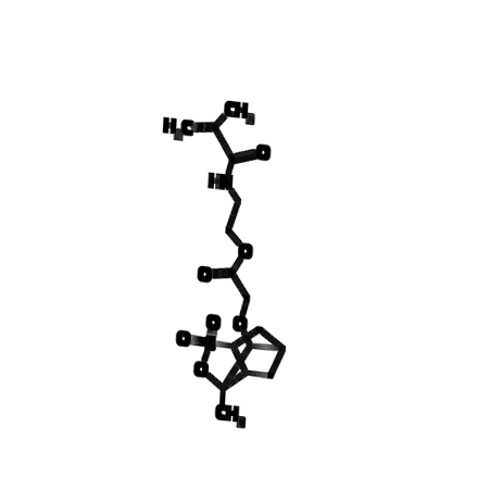 C=C(C)C(=O)NCCOC(=O)COC1C2CC3C(C2)S(=O)(=O)OC31C